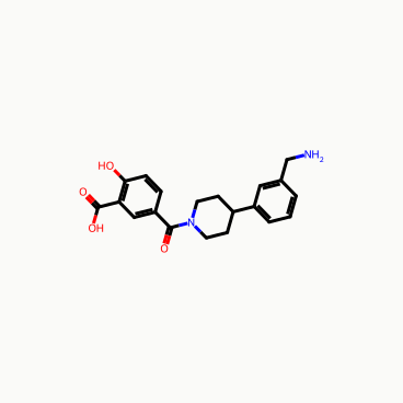 NCc1cccc(C2CCN(C(=O)c3ccc(O)c(C(=O)O)c3)CC2)c1